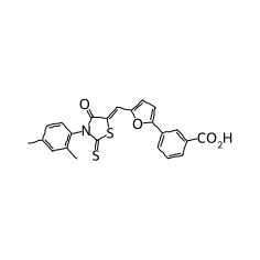 Cc1ccc(N2C(=O)/C(=C/c3ccc(-c4cccc(C(=O)O)c4)o3)SC2=S)c(C)c1